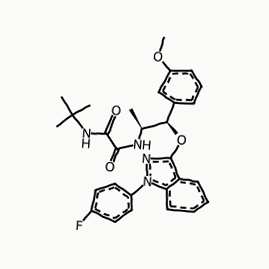 COc1cccc([C@@H](Oc2nn(-c3ccc(F)cc3)c3ccccc23)[C@H](C)NC(=O)C(=O)NC(C)(C)C)c1